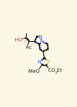 CCOC(=O)c1sc(-c2ccn3ncc(/C(C(C)=O)=C(\C)O)c3c2)nc1OC